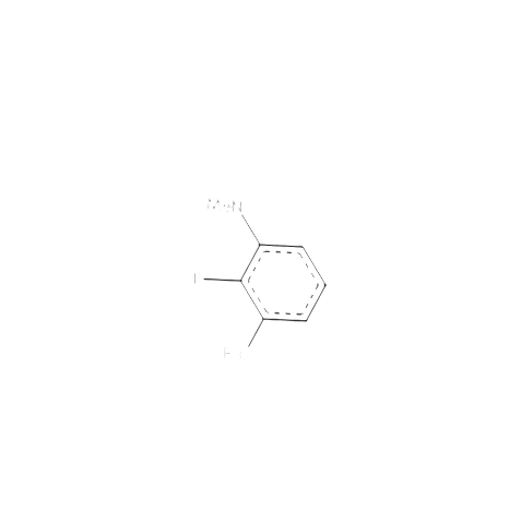 CNc1cccc(C(F)(F)F)c1F